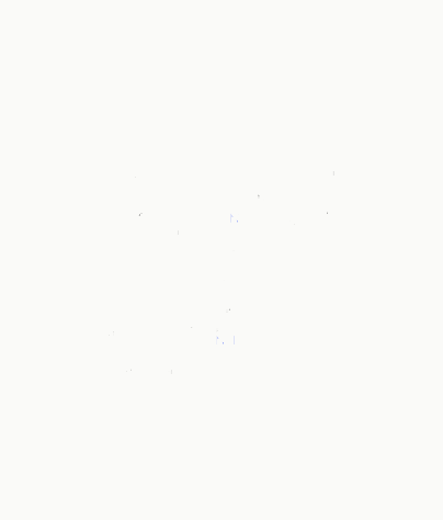 C1=CC2c3ccccc3N(c3ccccc3)C2C=C1Nc1ccccc1